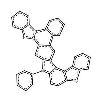 c1ccc(-n2c3cc4c(cc3c3c5c(ccc32)sc2ccccc25)c2ccccc2n2c3ccccc3nc42)cc1